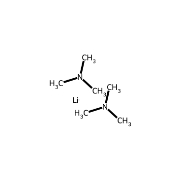 CN(C)C.CN(C)C.[Li]